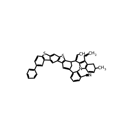 C=Cc1c2c(n3c1/C(=C\C)C1CC(=Cc4c1sc1cc5sc6ccc(-c7ccccc7)cc6c5cc41)c1cccc(C#N)c1-3)C=CC(C)C2